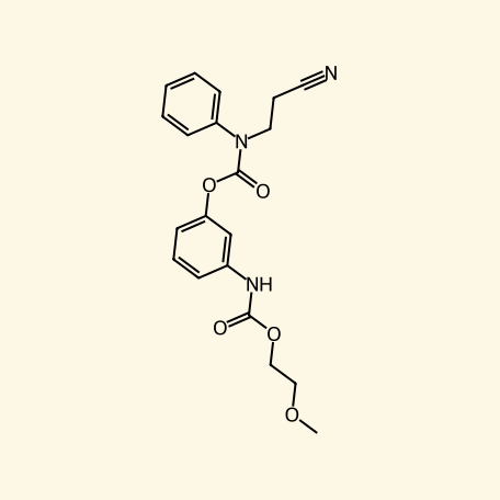 COCCOC(=O)Nc1cccc(OC(=O)N(CCC#N)c2ccccc2)c1